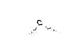 CONC(=O)CCSc1cccnc1SCCC(=O)NOC